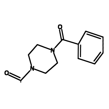 O=[C]N1CCN(C(=O)c2ccccc2)CC1